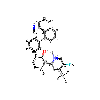 Cc1ccc2c(oc3c(-c4cccc5ccccc45)c(C#N)ccc32)c1-c1cc([Si](C)(C)C)c(F)c[n+]1C